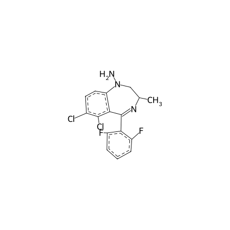 CC1CN(N)c2ccc(Cl)c(Cl)c2C(c2c(F)cccc2F)=N1